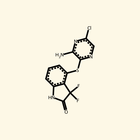 Nc1nc(Cl)cnc1Sc1cccc2c1C(F)(F)C(=O)N2